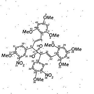 COc1cc(OC)c(C=CC(c2ccc(OC)c([N+](=O)[O-])c2)S(=O)(=O)C(C=Cc2c(OC)cc(OC)cc2OC)c2ccc(OC)c([N+](=O)[O-])c2)c(OC)c1